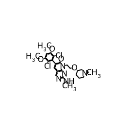 CNc1ncc2cc(-c3c(Cl)c(OC)cc(OC)c3Cl)c(=O)n(CCOC3CCCN(C)C3)c2n1